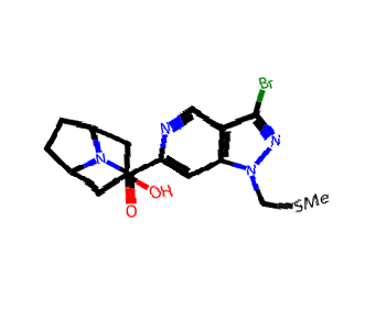 CSCn1nc(Br)c2cnc(C(=O)N3C4CCC3CC(O)C4)cc21